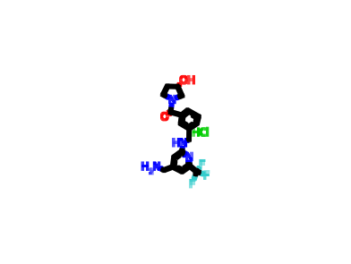 Cl.NCc1cc(NCc2cccc(C(=O)N3CCC(O)C3)c2)nc(C(F)(F)F)c1